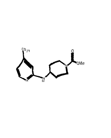 COC(=O)N1CCC(Nc2cc(C(=O)O)ccn2)CC1